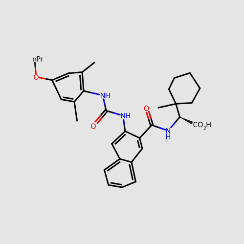 CCCOc1cc(C)c(NC(=O)Nc2cc3ccccc3cc2C(=O)N[C@H](C(=O)O)C2(C)CCCCC2)c(C)c1